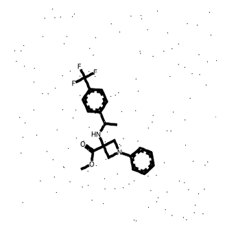 COC(=O)C1(NC(C)c2ccc(C(F)(F)F)cc2)CN(c2ccccc2)C1